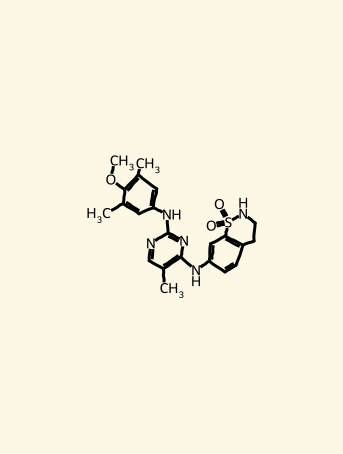 COc1c(C)cc(Nc2ncc(C)c(Nc3ccc4c(c3)S(=O)(=O)NCC4)n2)cc1C